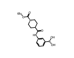 CC(C)(C)OC(=O)N1CCC(C(=O)Nc2cccc(B(O)O)c2)CC1